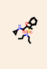 CCCN(CCC)S(=O)(=O)C1(C)c2ccccc2OC1C(=O)NC1CC1